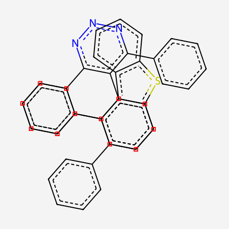 c1ccc(-c2ccccc2-c2c(-c3ccccc3)nnnc2-c2ccccc2-c2c(-c3ccccc3)ccc3sc4ccccc4c23)cc1